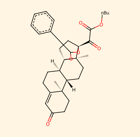 CCCCOC(=O)C(=O)[C@@]12CC[C@@]3(OC(c4ccccc4)O1)[C@@H]1CCC4=CC(=O)CC[C@]4(C)[C@H]1CC[C@]23C